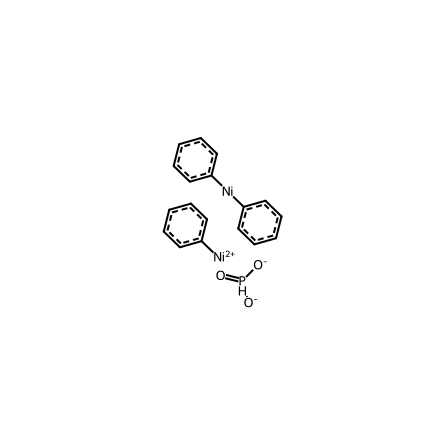 O=[PH]([O-])[O-].[Ni+2][c]1ccccc1.c1cc[c]([Ni][c]2ccccc2)cc1